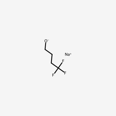 [Na+].[O-]CCCC(F)(F)F